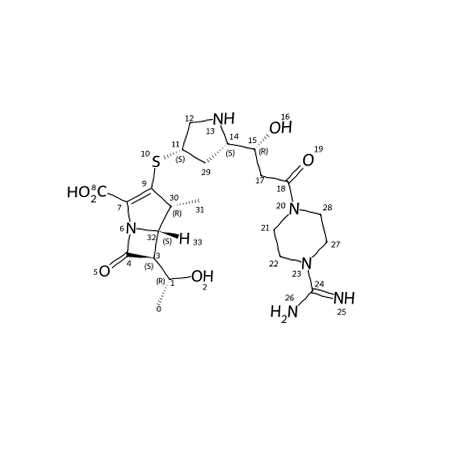 C[C@@H](O)[C@H]1C(=O)N2C(C(=O)O)=C(S[C@@H]3CN[C@H]([C@H](O)CC(=O)N4CCN(C(=N)N)CC4)C3)[C@H](C)[C@H]12